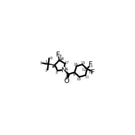 CC(C)(C)[C@@H]1CN(C(=O)C2CCC(F)(F)CC2)C[C@@H]1F